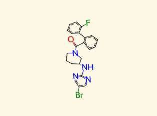 O=C(c1ccccc1-c1ccccc1F)N1CCC[C@@H](Nc2ncc(Br)cn2)C1